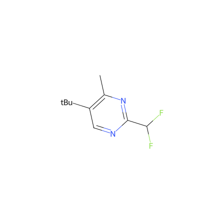 Cc1nc(C(F)F)ncc1C(C)(C)C